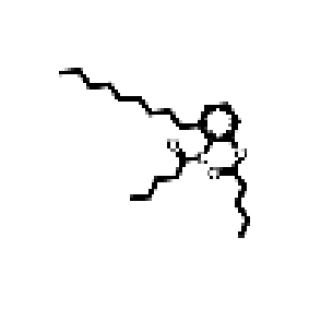 CCCCCCCCCc1cccc(OC(=O)CCCC)c1OC(=O)CCCC